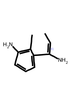 C/C=C(/N)c1cccc(N)c1C